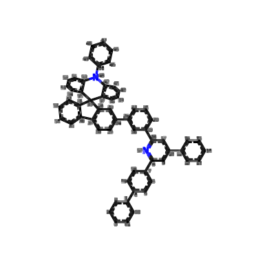 c1ccc(-c2ccc(-c3cc(-c4ccccc4)cc(-c4cccc(-c5ccc6c(c5)C5(c7ccccc7-6)c6ccccc6N(c6ccccc6)c6ccccc65)c4)n3)cc2)cc1